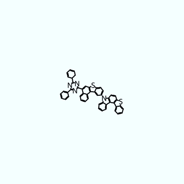 C1=CCC(c2nc(-c3ccccc3)nc(-c3cc4sc5ccc(-n6c7ccccc7c7c8c(ccc76)sc6ccccc68)cc5c4c4ccccc34)n2)C=C1